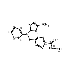 Cc1nsc(N(Cc2ccc(C(=O)NO)cc2)c2ccccn2)n1